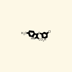 Cc1ccc2c(Sc3cccc(Cl)c3)c(C(=O)O)[nH]c2c1